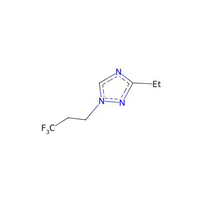 CCc1ncn(CCC(F)(F)F)n1